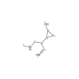 CNCC(C=N)C1OC1O